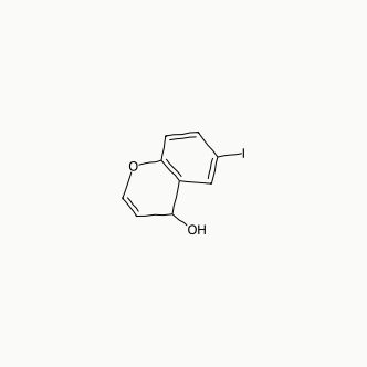 OC1C=COc2ccc(I)cc21